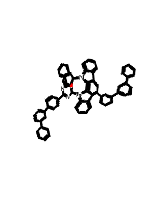 c1ccc(-c2cccc(-c3ccc(-c4nc(-c5ccccc5)nc(-n5c6ccccc6c6c(-c7cccc(-c8cccc(-c9ccccc9)c8)c7)cc7c8ccccc8n(-c8ccccc8)c7c65)n4)cc3)c2)cc1